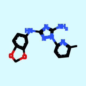 Cc1cccc(-n2nc(Nc3ccc4c(c3)OCO4)nc2N)n1